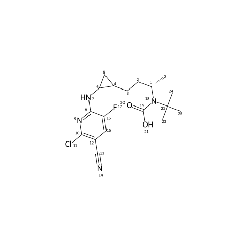 C[C@@H](CCC1CC1Nc1nc(Cl)c(C#N)cc1F)N(C(=O)O)C(C)(C)C